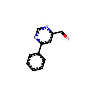 O=Cc1cc(-c2ccccc2)ncn1